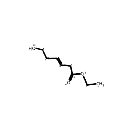 CCOC(=O)CC=CCCO